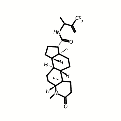 C=C(C(C)NC(=O)[C@H]1CC[C@H]2[C@@H]3CC[C@H]4N(C)C(=O)CC[C@]4(C)[C@H]3CC[C@]12C)C(F)(F)F